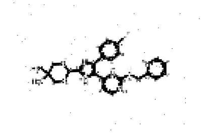 CC1(N)COC(c2nc(-c3ccc(F)cc3)c(-c3ccnc(NCc4ccccn4)n3)[nH]2)OC1